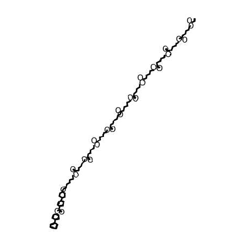 C=CC(=O)OCCCCCC(=O)OCCCCCC(=O)OCCCCCC(=O)OCCCCCC(=O)OCCCCCC(=O)OCCCCCC(=O)OCCCCCC(=O)OCCCCCC(=O)OCCCCCC(=O)OCCCCCC(=O)OCCCCCCOC1CCC(c2ccc(C(=O)Oc3ccc(-c4ccccc4)cc3)cc2)CC1